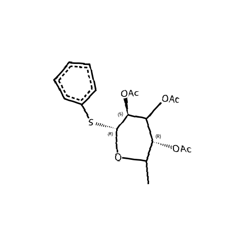 CC(=O)OC1[C@H](OC(C)=O)C(C)O[C@H](Sc2ccccc2)[C@H]1OC(C)=O